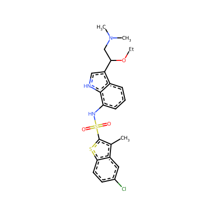 CCOC(CN(C)C)c1c[nH]c2c(NS(=O)(=O)c3sc4ccc(Cl)cc4c3C)cccc12